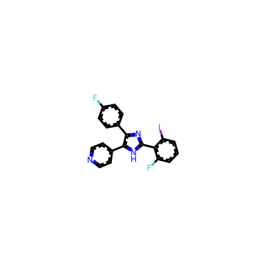 Fc1ccc(-c2nc(-c3c(F)cccc3I)[nH]c2-c2ccncc2)cc1